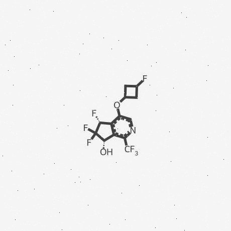 O[C@H]1c2c(C(F)(F)F)ncc(OC3CC(F)C3)c2[C@@H](F)C1(F)F